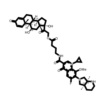 COc1c(N2C[C@]3(C)CCCN[C@]3(C)C2)c(F)cc2c(=O)c(C(=O)NCCCC(=O)OCC(=O)[C@]3(O)CC[C@@H]4[C@H]5CCC6=CC(=O)C=C[C@@]6(C)[C@@H]5[C@H](O)C[C@]43C)cn(C3CC3)c12